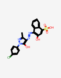 Cc1nn(-c2ccc(Cl)cc2)c(O)c1N=Nc1c(O)cc(S(=O)(=O)O)c2ccccc12